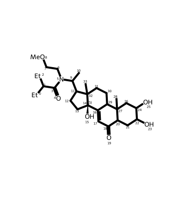 CCC(CC)C(=O)N(CCOC)C(C)C1CC[C@@]2(O)C3=CC(=O)C4CC(O)C(O)CC4(C)C3CCC12C